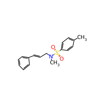 Cc1ccc(S(=O)(=O)N(C)C/C=C/c2ccccc2)cc1